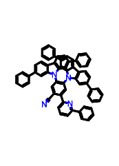 N#Cc1cc(-n2c3cc(-c4ccccc4)ccc3c3ccc(-c4ccccc4)cc32)c(-n2c3cc(-c4ccccc4)ccc3c3ccc(-c4ccccc4)cc32)cc1-c1cccc(-c2ccccc2)n1